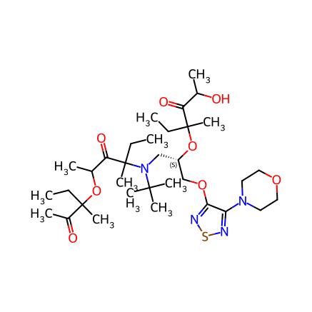 CCC(C)(OC(C)C(=O)C(C)(CC)N(C[C@@H](COc1nsnc1N1CCOCC1)OC(C)(CC)C(=O)C(C)O)C(C)(C)C)C(C)=O